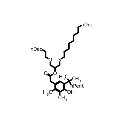 CCCCCCCCCCCCCCCCCCSCC(COCCCCCCCCCCCC)OC(=O)Cc1cc(C(C)(C)CCCCC)c(O)c(C)c1C